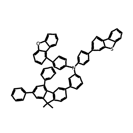 CC1(C)c2ccc(-c3cccc(N(c4ccc(-c5ccc6c(c5)sc5ccccc56)cc4)c4ccc(-c5cccc6oc7ccccc7c56)cc4)c3)cc2-c2c(-c3ccccc3)cc(-c3ccccc3)cc21